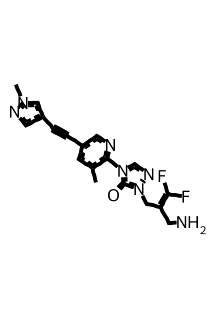 Cc1cc(C#Cc2cnn(C)c2)cnc1-n1cnn(CC(CN)=C(F)F)c1=O